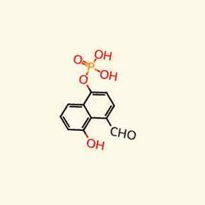 O=Cc1ccc(OP(=O)(O)O)c2cccc(O)c12